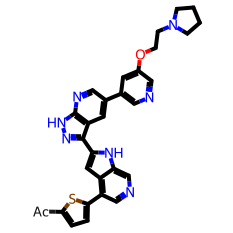 CC(=O)c1ccc(-c2cncc3[nH]c(-c4n[nH]c5ncc(-c6cncc(OCCN7CCCC7)c6)cc45)cc23)s1